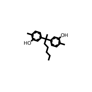 CCCCCC(C)(c1ccc(C)c(O)c1)c1ccc(C)c(O)c1